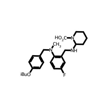 CC(C)COc1ccc(CN(C)c2ccc(F)cc2CNC2CCCCN2C(=O)O)cc1